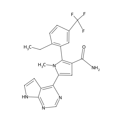 CCc1ccc(C(F)(F)F)cc1-c1c(C(N)=O)cc(-c2ncnc3[nH]ccc23)n1C